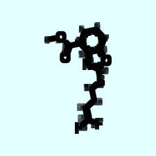 COC(=O)c1cccc2oc(SCCC=C(F)F)nc12